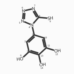 Oc1cc(-n2nnnc2S)cc(O)c1O